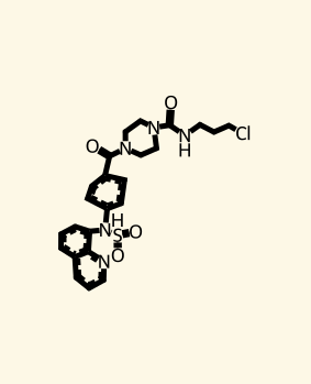 O=C(NCCCCl)N1CCN(C(=O)c2ccc(N(c3cccc4cccnc34)[SH](=O)=O)cc2)CC1